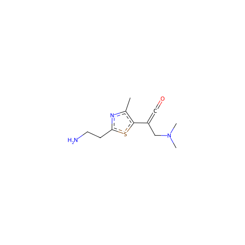 Cc1nc(CCN)sc1C(=C=O)CN(C)C